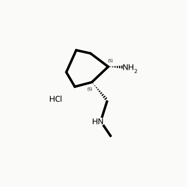 CNC[C@@H]1CCCC[C@@H]1N.Cl